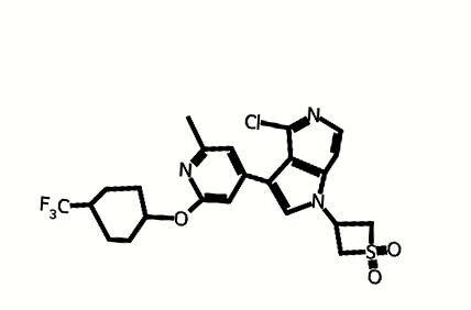 Cc1cc(-c2cn(C3CS(=O)(=O)C3)c3ccnc(Cl)c23)cc(OC2CCC(C(F)(F)F)CC2)n1